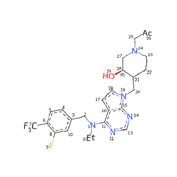 CCN(Cc1ccc(C(F)(F)F)c(F)c1)c1ncnc2c1ccn2CC1CCN(CC(C)=O)C[C@@H]1O